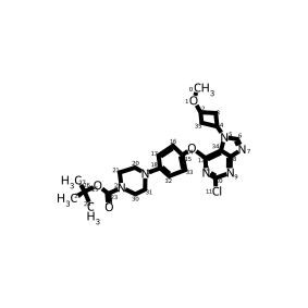 COC1CC(n2cnc3nc(Cl)nc(Oc4ccc(N5CCN(C(=O)OC(C)(C)C)CC5)cc4)c32)C1